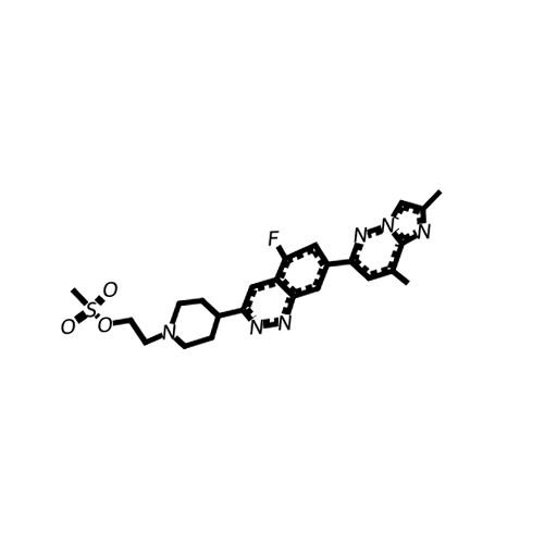 Cc1cn2nc(-c3cc(F)c4cc(C5CCN(CCOS(C)(=O)=O)CC5)nnc4c3)cc(C)c2n1